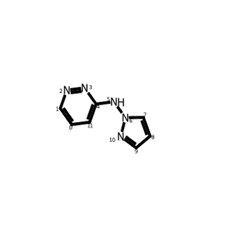 c1cnnc(Nn2cccn2)c1